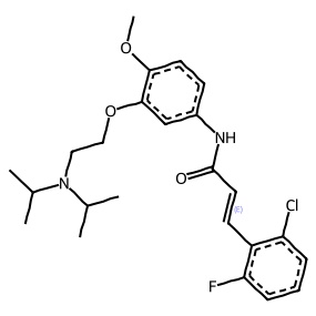 COc1ccc(NC(=O)/C=C/c2c(F)cccc2Cl)cc1OCCN(C(C)C)C(C)C